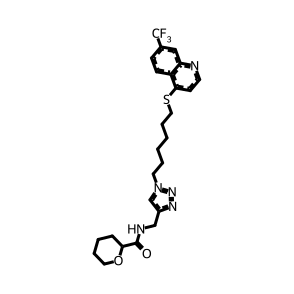 O=C(NCc1cn(CCCCCCSc2ccnc3cc(C(F)(F)F)ccc23)nn1)C1CCCCO1